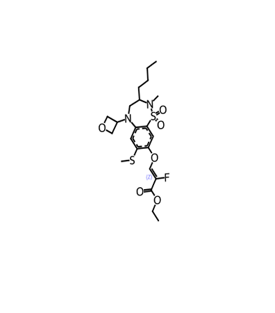 CCCCC1CN(C2COC2)c2cc(SC)c(O/C=C(\F)C(=O)OCC)cc2S(=O)(=O)N1C